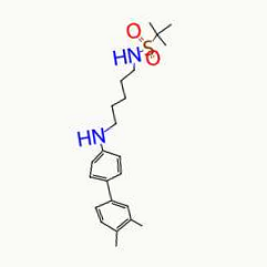 Cc1ccc(-c2ccc(NCCCCCNS(=O)(=O)C(C)(C)C)cc2)cc1C